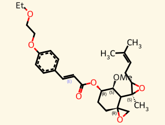 CCOCCOc1ccc(/C=C/C(=O)O[C@@H]2CC[C@]3(CO3)C([C@]3(C)OC3CC=C(C)C)[C@@H]2OC)cc1